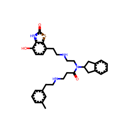 Cc1cccc(CCNCCC(=O)N(CCNCCc2ccc(O)c3[nH]c(=O)sc23)C2Cc3ccccc3C2)c1